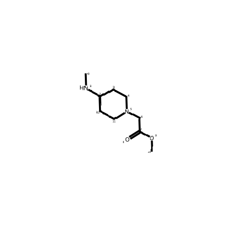 CNC1CCN(CC(=O)OC)CC1